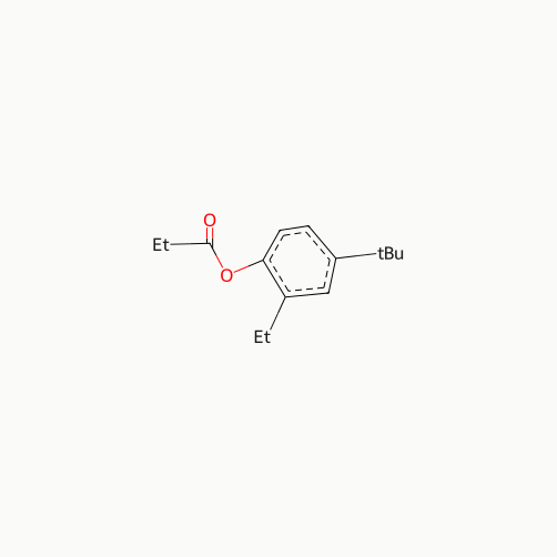 CCC(=O)Oc1ccc(C(C)(C)C)cc1CC